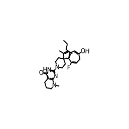 C/C=C(/C)C1(C2=C(CCC)C=C(O)CC=C2F)CCN(c2nc3c(c(=O)[nH]2)CCCN3C)CC1